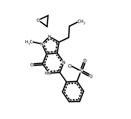 C1CO1.CCCc1nn(C)c2c(=O)[nH]c(-c3ccccc3S(=O)(=O)Cl)nc12